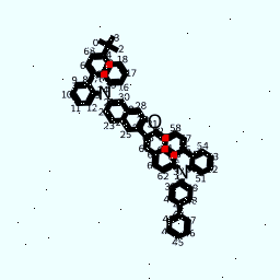 CC(C)(C)c1ccc(-c2ccccc2N(c2ccccc2)c2ccc3cc4c(cc3c2)oc2cc3cc(N(c5ccc(-c6ccccc6)cc5)c5ccccc5-c5ccccc5)ccc3cc24)cc1